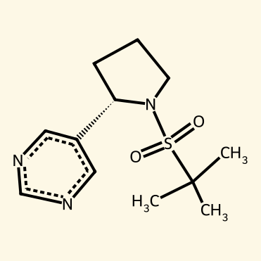 CC(C)(C)S(=O)(=O)N1CCC[C@H]1c1cncnc1